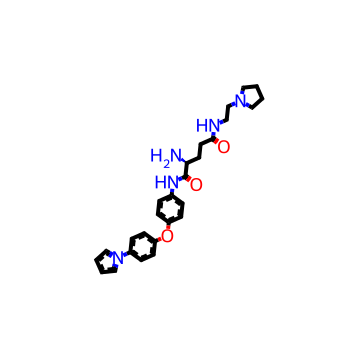 N[C@@H](CCC(=O)NCCN1CCCC1)C(=O)Nc1ccc(Oc2ccc(-n3cccc3)cc2)cc1